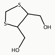 OCC1SCSC1CO